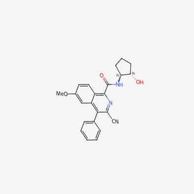 COc1ccc2c(C(=O)N[C@H]3CCC[C@@H]3O)nc(C#N)c(-c3ccccc3)c2c1